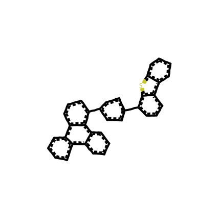 c1ccc2c(c1)sc1c(-c3ccc(-c4cccc5c6ccccc6c6ccccc6c45)cc3)cccc12